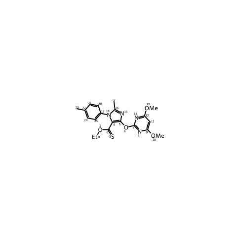 CCOC(=S)c1c(Oc2nc(OC)cc(OC)n2)nc(C)n1-c1ccc(C)cc1